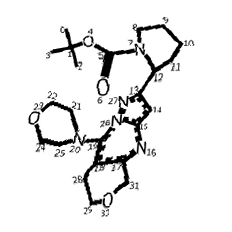 CC(C)(C)OC(=O)N1CCCCC1c1cc2nc3c(c(N4CCOCC4)n2n1)CCOC3